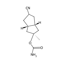 C[C@@]1(OC(N)=O)C[C@H]2CC(C#N)C[C@H]2C1